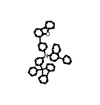 c1ccc(-c2ccc(N(c3ccc(-c4cccc5c4oc4ccccc45)cc3)c3cccc(C4(c5ccccc5)c5ccccc5-c5ccccc54)c3)c3ccccc23)cc1